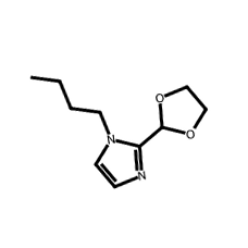 CCCCn1ccnc1C1OCCO1